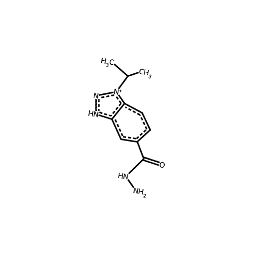 CC(C)[n+]1n[nH]c2cc(C(=O)NN)ccc21